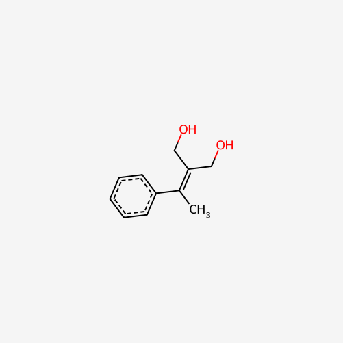 CC(=C(CO)CO)c1ccccc1